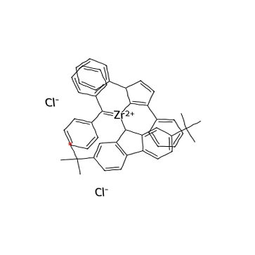 CC(C)(C)c1ccc2c(c1)[CH]([Zr+2]([C]1=C(c3ccccc3)C=CC1c1ccccc1)=[C](c1ccccc1)c1ccccc1)c1cc(C(C)(C)C)ccc1-2.[Cl-].[Cl-]